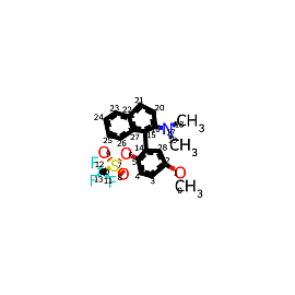 COc1ccc(OS(=O)(=O)C(F)(F)F)c(-c2c(N(C)C)ccc3ccccc23)c1